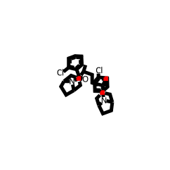 CC(CCC(C)N1CC2CCC(C1)N2c1ccc(Cl)cc1)N1CC2CCC(C1)N2C(=O)c1ccccc1Cl